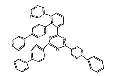 c1ccc(-c2ccc(-c3nc(-c4ccc(-c5ccccc5)cc4)nc(-c4cccc(-c5cccnc5)c4-c4ccc(-c5ccccc5)cc4)n3)cc2)cc1